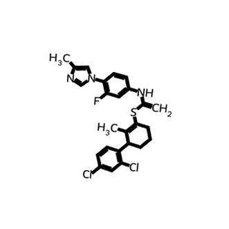 C=C(Nc1ccc(-n2cnc(C)c2)c(F)c1)SC1=C(C)C(c2ccc(Cl)cc2Cl)CCC1